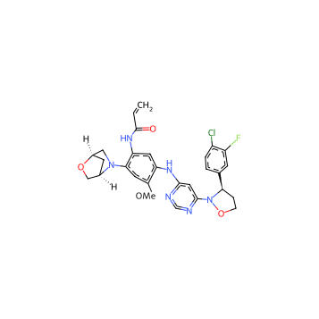 C=CC(=O)Nc1cc(Nc2cc(N3OCC[C@@H]3c3ccc(Cl)c(F)c3)ncn2)c(OC)cc1N1C[C@H]2C[C@@H]1CO2